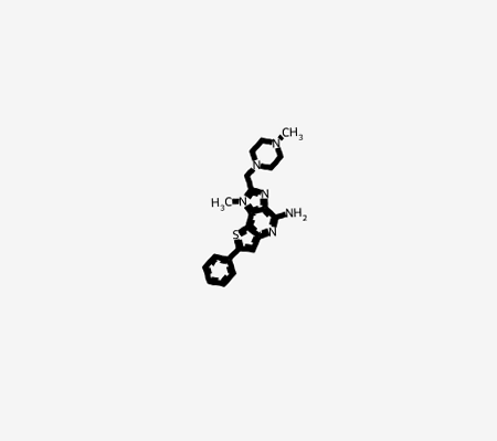 CN1CCN(Cc2nc3c(N)nc4cc(-c5ccccc5)sc4c3n2C)CC1